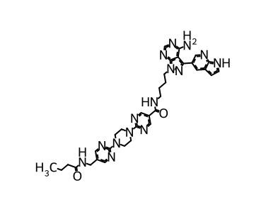 CCCC(=O)NCc1cnc(N2CCN(c3ncc(C(=O)NCCCCn4nc(-c5cnc6[nH]ccc6c5)c5c(N)ncnc54)cn3)CC2)nc1